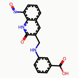 O=Nc1cccc2cc(CNc3cccc(C(=O)O)c3)c(=O)[nH]c12